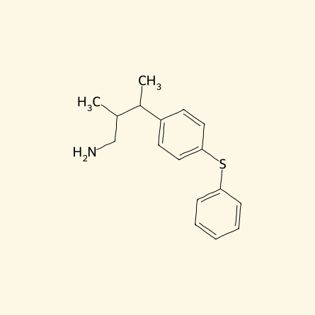 CC(CN)C(C)c1ccc(Sc2ccccc2)cc1